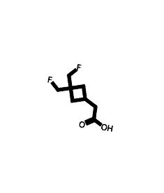 O=C(O)CC1CC(CF)(CF)C1